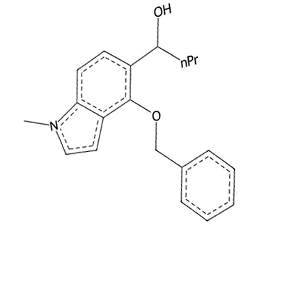 CCCC(O)c1ccc2c(ccn2C)c1OCc1ccccc1